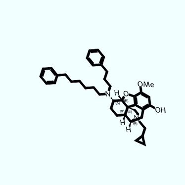 COc1cc(O)c2c3c1O[C@H]1[C@@H](N(CCCCCCc4ccccc4)CCCc4ccccc4)CC[C@H]4[C@@H](C2)N(CC2CC2)CC[C@@]341